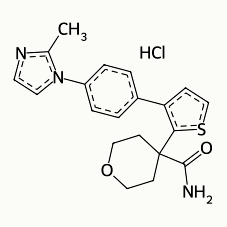 Cc1nccn1-c1ccc(-c2ccsc2C2(C(N)=O)CCOCC2)cc1.Cl